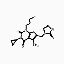 Cc1c(CN2CCNC2=S)sc2c1c(=O)n(C1CC1)c(=O)n2CCCF